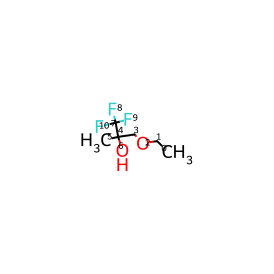 CCOCC(C)(O)C(F)(F)F